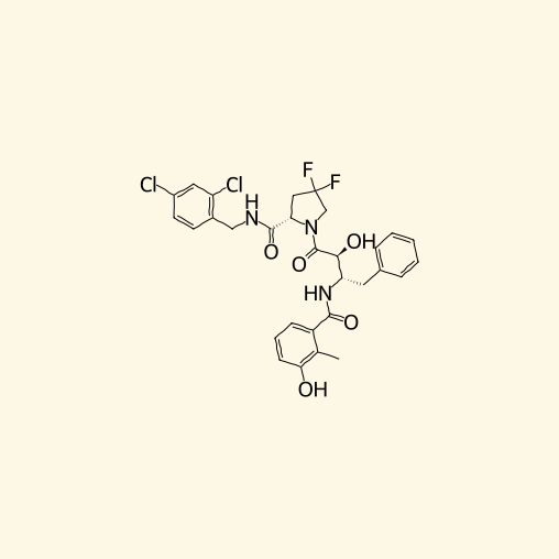 Cc1c(O)cccc1C(=O)N[C@@H](Cc1ccccc1)[C@H](O)C(=O)N1CC(F)(F)C[C@H]1C(=O)NCc1ccc(Cl)cc1Cl